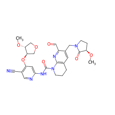 CO[C@@H]1CCN(Cc2cc3c(nc2C=O)N(C(=O)Nc2cc(O[C@@H]4COC[C@H]4OC)c(C#N)cn2)CCC3)C1=O